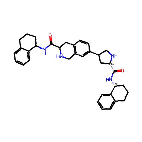 O=C(NC1CCCc2ccccc21)C1Cc2ccc(C3CN[C@H](C(=O)N[C@@H]4CCCc5ccccc54)C3)cc2CN1